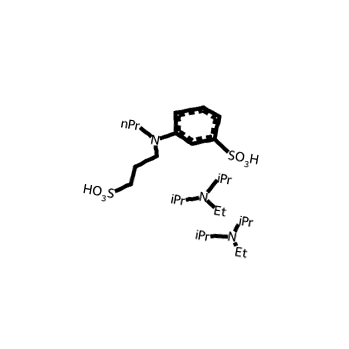 CCCN(CCCS(=O)(=O)O)c1cccc(S(=O)(=O)O)c1.CCN(C(C)C)C(C)C.CCN(C(C)C)C(C)C